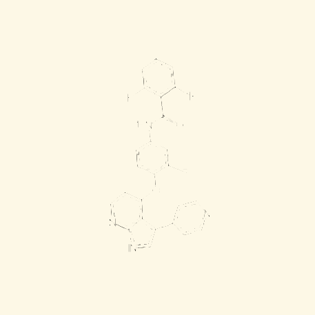 O=C(Nc1ccc(Oc2ccnc3[nH]cc(-c4ccncc4)c23)c(F)c1)c1c(F)cccc1F